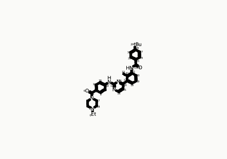 CCN1CCN(C(=O)c2ccc(Nc3nccc(-c4cccc(NC(=O)c5ccc(C(C)(C)C)cc5)c4C)n3)cc2)CC1